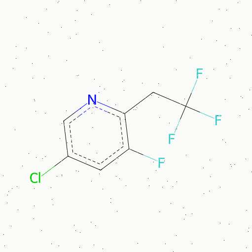 Fc1cc(Cl)cnc1CC(F)(F)F